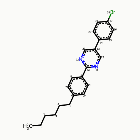 CCCCCCc1ccc(-c2ncc(-c3ccc(Br)cc3)cn2)cc1